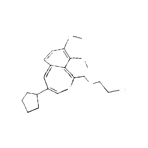 COc1ccc2c(c1OC)=C(COCCO)SC=C(C1CCCC1)C=2